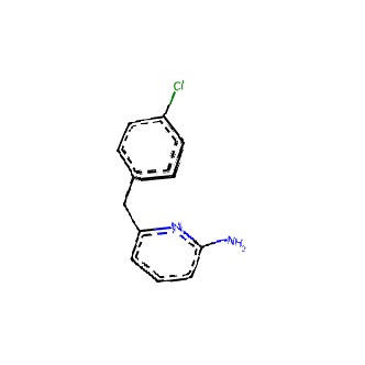 Nc1cccc(Cc2ccc(Cl)cc2)n1